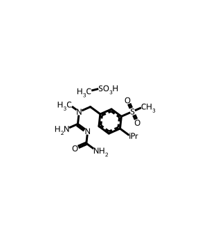 CC(C)c1ccc(CN(C)C(N)=NC(N)=O)cc1S(C)(=O)=O.CS(=O)(=O)O